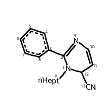 CCCCCCCN1C(c2cc[c]cc2)=NC=CC1C#N